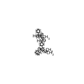 CC(C)/N=C1\SC(c2ccc(NC(=O)[C@H](C)NC(=O)[C@@H](O)c3ccccc3)cc2)C(=O)N1Cc1ccccn1